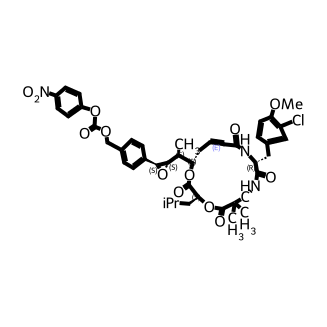 COc1ccc(C[C@H]2NC(=O)/C=C/C[C@@H]([C@H](C)[C@@H]3O[C@H]3c3ccc(COC(=O)Oc4ccc([N+](=O)[O-])cc4)cc3)OC(=O)[C@H](CC(C)C)OC(=O)C(C)(C)CNC2=O)cc1Cl